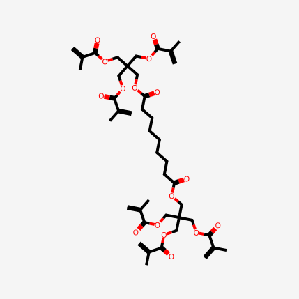 C=C(C)C(=O)OCC(COC(=O)CCCCCCCC(=O)OCC(COC(=O)C(=C)C)(COC(=O)C(=C)C)COC(=O)C(=C)C)(COC(=O)C(=C)C)COC(=O)C(=C)C